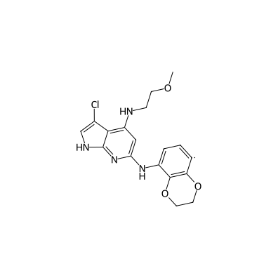 COCCNc1cc(Nc2cc[c]c3c2OCCO3)nc2[nH]cc(Cl)c12